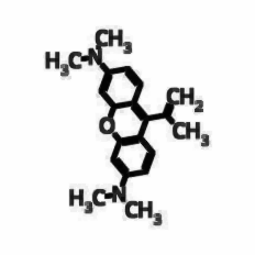 C=C(C)C1=C2C=CC(N(C)C)=CC2Oc2cc(N(C)C)ccc21